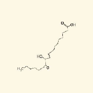 CCCCCC1OC1C(O)C=CCCCCCCCC(=O)O